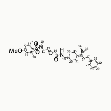 COc1cc(C)c(S(=O)(=O)N(C)CCOCC(=O)NCC2CCC(C(CCc3ccccc3)N(C)C)CC2)c(C)c1